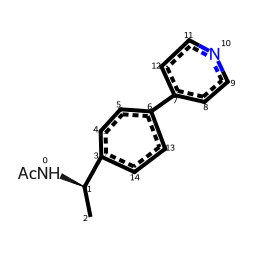 CC(=O)N[C@H](C)c1ccc(-c2ccncc2)cc1